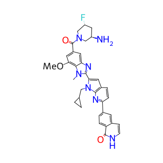 COc1cc(C(=O)N2C[C@H](N)C[C@@H](F)C2)cc2nc(-c3cc4ccc(-c5ccc6c(=O)[nH]ccc6c5)nc4n3CC3CC3)n(C)c12